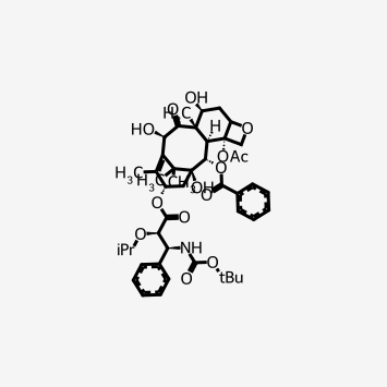 CC(=O)O[C@@]12COC1C[C@H](O)[C@@]1(C)C(=O)[C@H](O)C3=C(C)[C@@H](OC(=O)[C@H](OC(C)C)[C@@H](NC(=O)OC(C)(C)C)c4ccccc4)C[C@@](O)([C@@H](OC(=O)c4ccccc4)[C@@H]12)C3(C)C